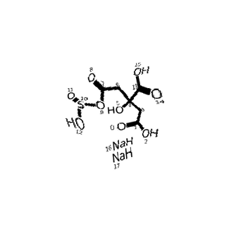 O=C(O)CC(O)(CC(=O)OS(=O)O)C(=O)O.[NaH].[NaH]